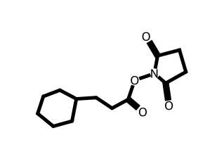 O=C(CCC1CCCCC1)ON1C(=O)CCC1=O